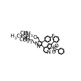 CC(C)(C)[Si](C)(C)OCCCn1nc(-c2ccnc3c2cc(-c2ccccc2)n3S(=O)(=O)c2ccccc2)c(-c2ccc(F)cc2)c1C=O